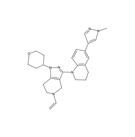 C=CN1CCc2c(c(N3CCCc4cc(-c5cnn(C)c5)ccc43)nn2C2CCOCC2)C1